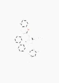 COC(=O)C[C@@H](Oc1nc(C)cc(C)n1)[C@@]1(c2ccccc2)NCC(=O)N(Cc2c(F)cccc2F)c2ccccc21